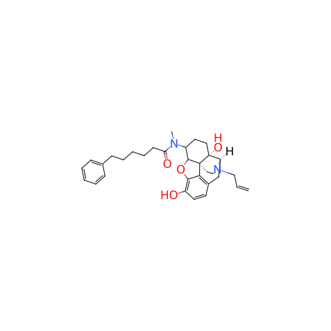 C=CCN1CC[C@]23c4c5ccc(O)c4OC2C(N(C)C(=O)CCCCCc2ccccc2)CC[C@@]3(O)[C@H]1C5